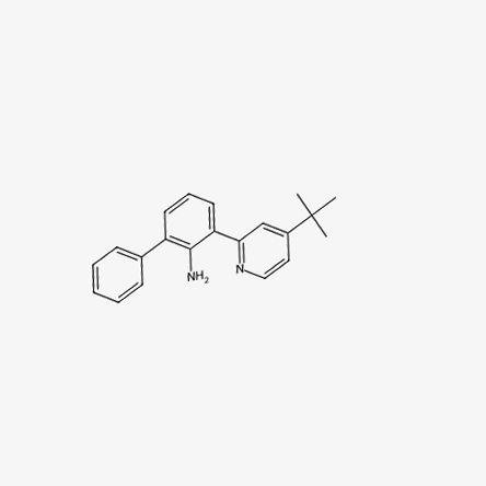 CC(C)(C)c1ccnc(-c2cccc(-c3ccccc3)c2N)c1